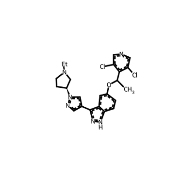 CCN1CC[C@H](n2cc(-c3n[nH]c4ccc(OC(C)c5c(Cl)cncc5Cl)cc34)cn2)C1